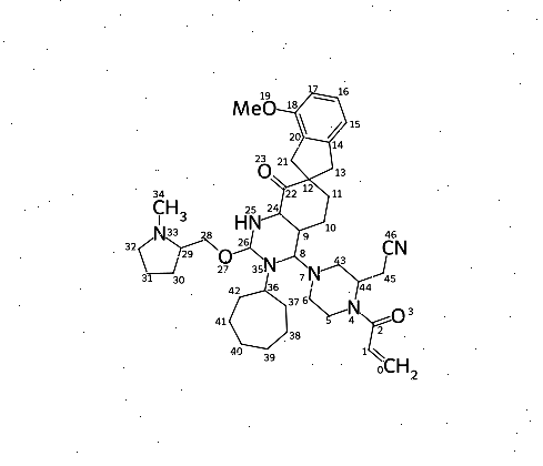 C=CC(=O)N1CCN(C2C3CCC4(Cc5cccc(OC)c5C4)C(=O)C3NC(OCC3CCCN3C)N2C2CCCCCC2)CC1CC#N